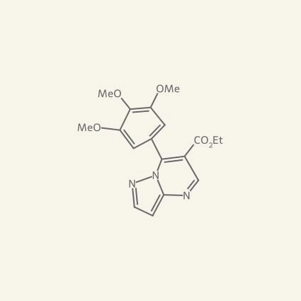 CCOC(=O)c1cnc2ccnn2c1-c1cc(OC)c(OC)c(OC)c1